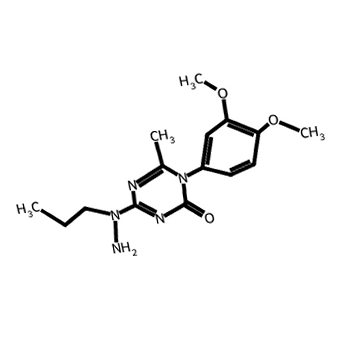 CCCN(N)c1nc(C)n(-c2ccc(OC)c(OC)c2)c(=O)n1